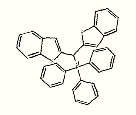 c1ccc([PH](c2ccccc2)(c2ccccc2)C(c2cc3ccccc3s2)c2cc3ccccc3s2)cc1